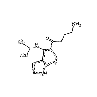 CCCCC(CCCC)Nc1c(C(=O)CCCN)cnc2[nH]ccc12